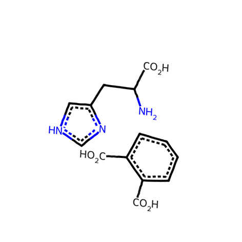 NC(Cc1c[nH]cn1)C(=O)O.O=C(O)c1ccccc1C(=O)O